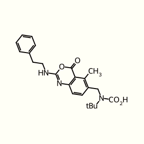 Cc1c(CN(C(=O)O)C(C)(C)C)ccc2nc(NCCc3ccccc3)oc(=O)c12